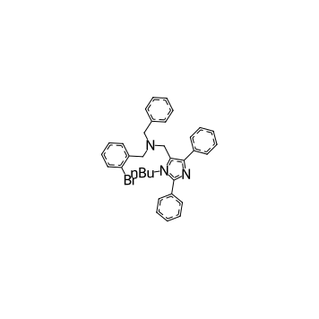 CCCCn1c(-c2ccccc2)nc(-c2ccccc2)c1CN(Cc1ccccc1)Cc1ccccc1Br